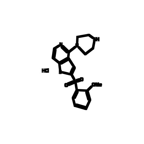 COc1ccccc1S(=O)(=O)c1cc2c(N3CCNCC3)nccc2s1.Cl